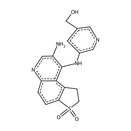 Nc1cnc2ccc3c(c2c1Nc1cncc(CO)c1)CCS3(=O)=O